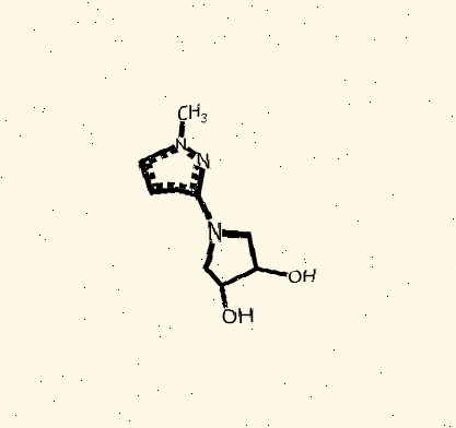 Cn1ccc(N2CC(O)C(O)C2)n1